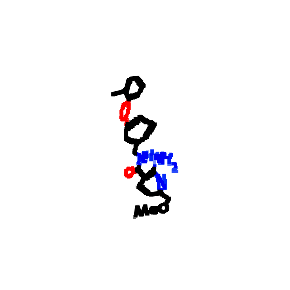 COCc1ccc(C(=O)NCc2cccc(Oc3ccccc3C)c2)c(N)n1